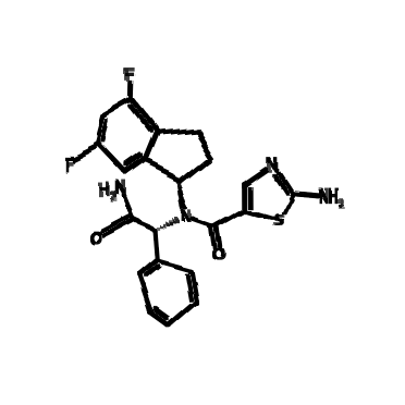 NC(=O)[C@@H](c1ccccc1)N(C(=O)c1cnc(N)s1)[C@@H]1CCc2c(F)cc(F)cc21